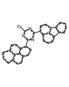 Clc1nc(-c2ccc3c4c(cccc24)-c2ccccc2-3)nc(-c2ccc3ccc4cccc5ccc2c3c45)n1